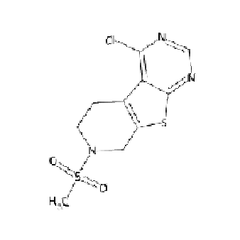 CS(=O)(=O)N1CCc2c(sc3ncnc(Cl)c23)C1